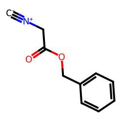 [C-]#[N+]CC(=O)OCc1ccccc1